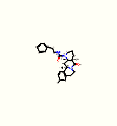 Cc1ccc2c(c1)CCN1C(=O)[C@H]3CCCN(C(=O)NCCc4ccccc4)[C@H]3C[C@H]21